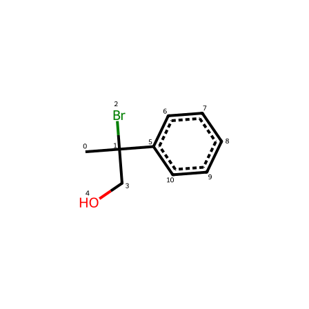 CC(Br)(CO)c1ccccc1